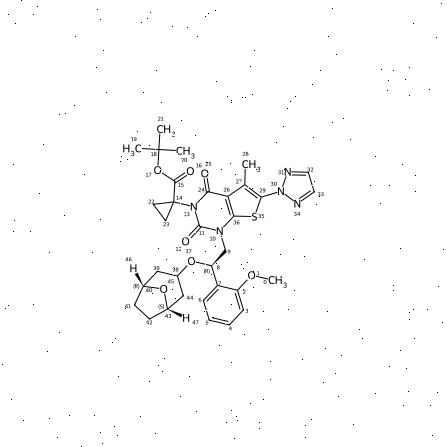 COc1ccccc1[C@H](Cn1c(=O)n(C2(C(=O)OC(C)(C)C)CC2)c(=O)c2c(C)c(-n3nccn3)sc21)OC1C[C@H]2CC[C@@H](C1)O2